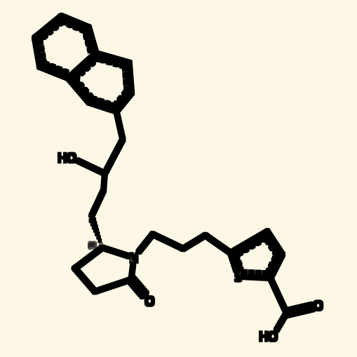 O=C(O)c1ccc(CCCN2C(=O)CC[C@@H]2CCC(O)Cc2ccc3ccccc3c2)s1